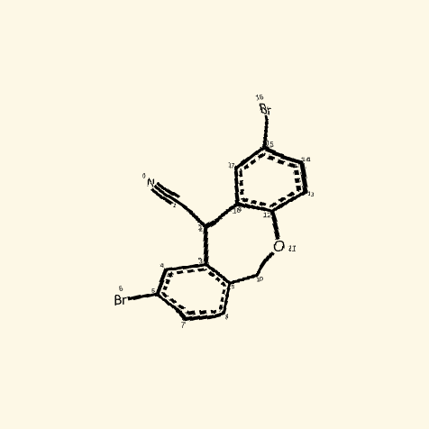 N#CC1c2cc(Br)ccc2COc2ccc(Br)cc21